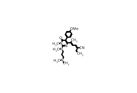 C=C/C(C#N)=C\C=C(/C)c1nc(N(C)CCCN(C)C)n(C)c(=O)c1-c1ccc(OC)cc1